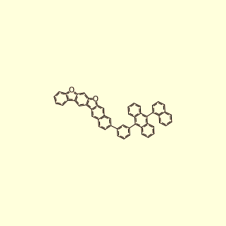 c1cc(-c2ccc3cc4c(cc3c2)oc2cc3oc5ccccc5c3cc24)cc(-c2c3ccccc3c(-c3cccc4ccccc34)c3ccccc23)c1